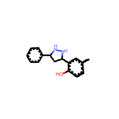 Cc1ccc(O)c(C2CC(c3ccccc3)NN2)c1